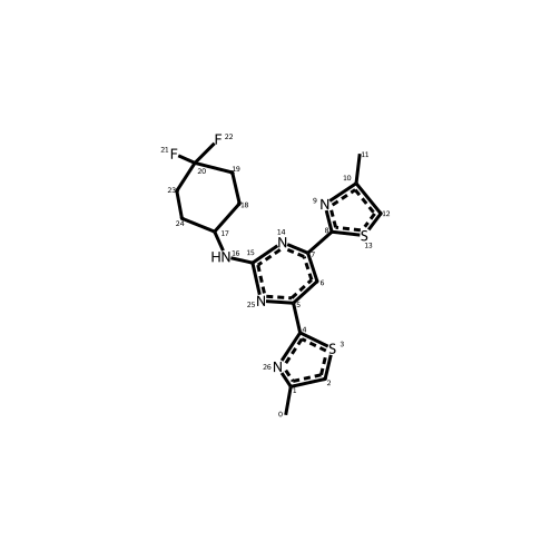 Cc1csc(-c2cc(-c3nc(C)cs3)nc(NC3CCC(F)(F)CC3)n2)n1